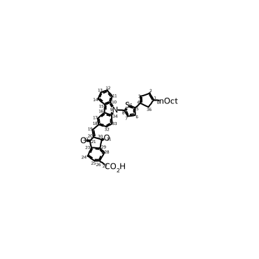 CCCCCCCCC1=CC=C(c2ccc(-n3c4ccccc4c4cc(/C=C5/C(=O)c6ccc(C(=O)O)cc6C5=O)ccc43)s2)C1